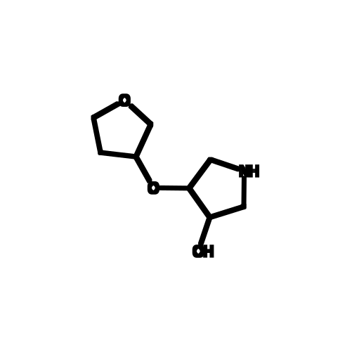 OC1CNCC1OC1CCOC1